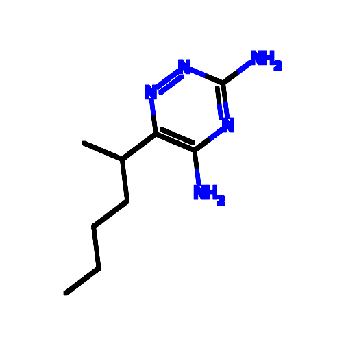 CCCCC(C)c1nnc(N)nc1N